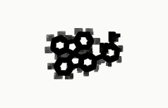 Brc1cccc(-c2ccc3c(c2)C2(c4ccccc4-c4ccccc42)c2ccccc2-3)n1